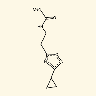 CNC(=O)NCCc1nc(C2CC2)no1